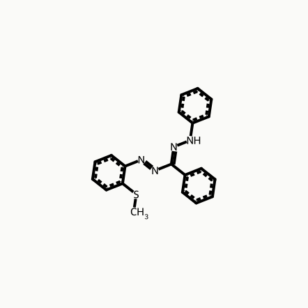 CSc1ccccc1N=NC(=NNc1ccccc1)c1ccccc1